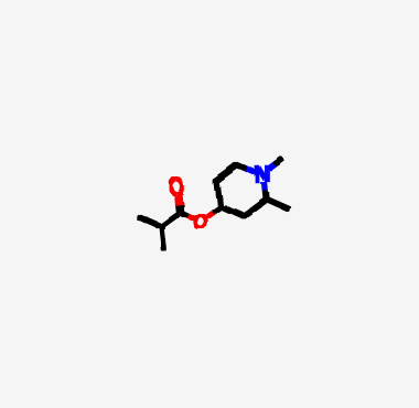 CC(C)C(=O)OC1CCN(C)C(C)C1